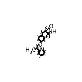 CC(COc1ccc(CC2SC(=O)NC2=O)cc1)c1ccccn1